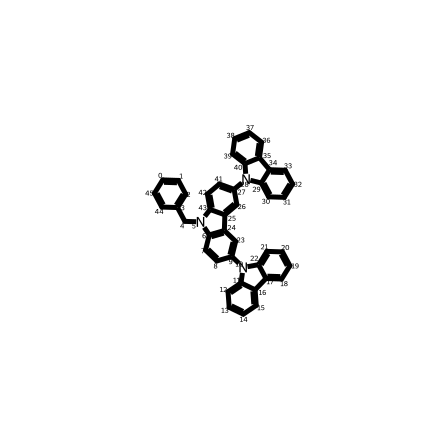 c1ccc(Cn2c3ccc(-n4c5ccccc5c5ccccc54)cc3c3cc(-n4c5ccccc5c5ccccc54)ccc32)cc1